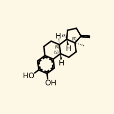 C=C1CC[C@H]2[C@@H]3CCc4cc(O)c(O)cc4[C@H]3CC[C@]12C